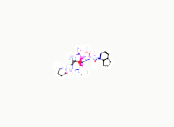 N=C1N[C@H]2[C@H](CN3C(=O)CCC3=O)NC(=N)N3CC(NC(=O)c4cccc5c4CCC5)C(O)(O)[C@]23N1